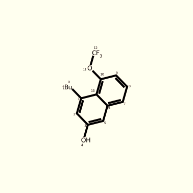 CC(C)(C)c1cc(O)cc2cccc(OC(F)(F)F)c12